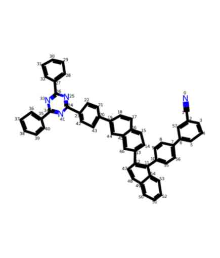 N#Cc1cccc(-c2ccc(-c3c(-c4ccc5ccc(-c6ccc(-c7nc(-c8ccccc8)nc(-c8ccccc8)n7)cc6)cc5c4)ccc4ccccc34)cc2)c1